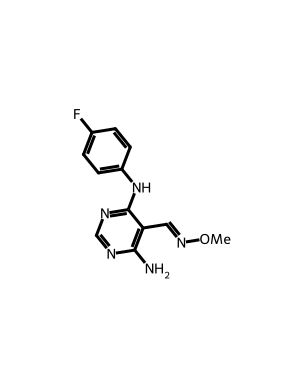 CON=Cc1c(N)ncnc1Nc1ccc(F)cc1